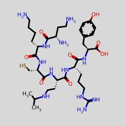 CC(C)NCC[C@H](NC(=O)[C@H](CS)NC(=O)[C@H](CCCCN)NC(=O)[C@@H](N)CCN)C(=O)N[C@@H](CCCNC(=N)N)C(=O)N[C@@H](Cc1ccc(O)cc1)C(=O)O